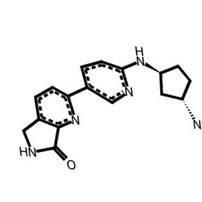 N[C@H]1CC[C@H](Nc2ccc(-c3ccc4c(n3)C(=O)NC4)cn2)C1